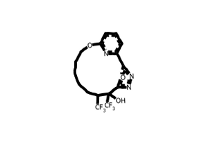 OC1(C(F)(F)F)c2nnc(o2)-c2cccc(n2)OCCCCCC1C(F)(F)F